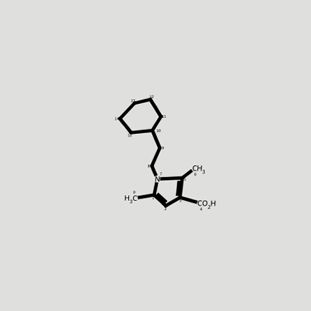 Cc1cc(C(=O)O)c(C)n1CCC1CCCCC1